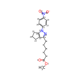 COC(=O)CCCCCc1nn(-c2ccc([N+](=O)[O-])cc2)c2c1CCC2